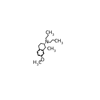 CCCN(CCC)[C@H]1CCc2ccc(OC)cc2[C@H]1C